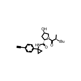 C#Cc1ccc(C2(NC(=O)[C@@H]3C[C@@H](O)CN3C(=O)[C@@H](C)C(C)(C)C)CC2)cc1